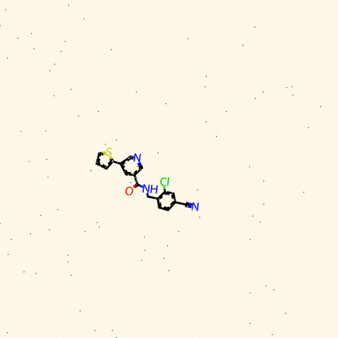 N#Cc1ccc(CNC(=O)c2cncc(-c3cccs3)c2)c(Cl)c1